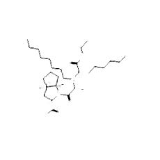 CCCCCCCCN([C@@H](C)C(=O)N1[C@H](C(=O)O)C[C@@H]2CCC[C@@H]21)[C@@H](CCCCCC)C(=O)OCC